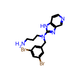 NCCCN(Cc1cc(Br)cc(Br)c1)c1nc2cnccc2[nH]1